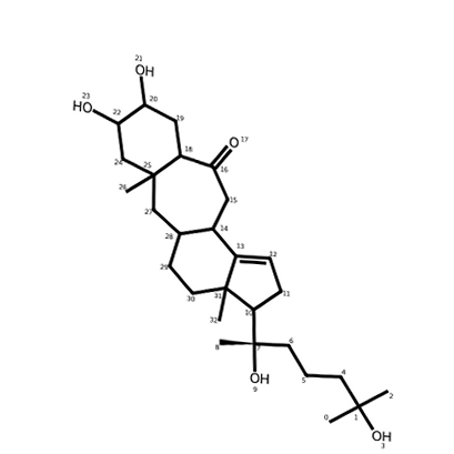 CC(C)(O)CCC[C@](C)(O)C1CC=C2C3CC(=O)C4CC(O)C(O)CC4(C)CC3CCC21C